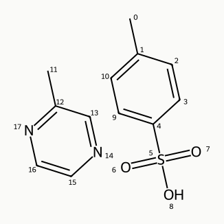 Cc1ccc(S(=O)(=O)O)cc1.Cc1cnccn1